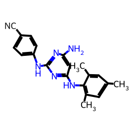 Cc1cc(C)c(Nc2cc(N)nc(Nc3ccc(C#N)cc3)n2)c(C)c1